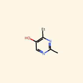 CCc1nc(C)ncc1O